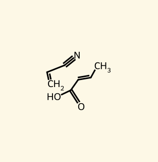 C=CC#N.CC=CC(=O)O